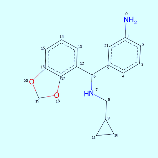 Nc1cccc(C(NCC2CC2)c2cccc3c2OCO3)c1